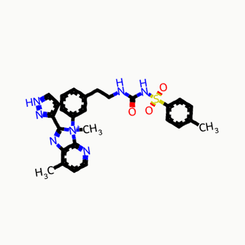 Cc1ccc(S(=O)(=O)NC(=O)NCCc2cccc([N+]3(C)C(c4cc[nH]n4)=Nc4c(C)ccnc43)c2)cc1